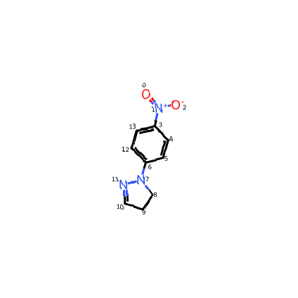 O=[N+]([O-])c1ccc(N2CCC=N2)cc1